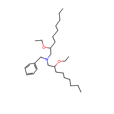 CCCCCCCC(CN(Cc1ccccc1)CC(CCCCCCC)OCC)OCC